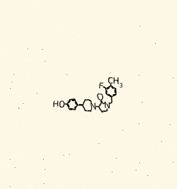 Cc1ccc(CN2CCC(N3CCC(c4ccc(O)cc4)CC3)C2=O)cc1F